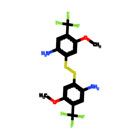 COc1cc(SSc2cc(OC)c(C(F)(F)F)cc2N)c(N)cc1C(F)(F)F